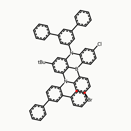 CC(C)(C)c1cc2c3c(c1)N(c1ccc(-c4ccccc4)cc1-c1ccccc1)c1cc(Br)ccc1B3c1ccc(Cl)cc1N2c1cc(-c2ccccc2)cc(-c2ccccc2)c1